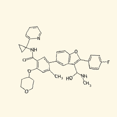 CNC(O)c1c(-c2ccc(F)cc2)oc2ccc(-c3cc(C(=O)NC4(c5ccccn5)CC4)c(OC4CCOCC4)cc3C)cc12